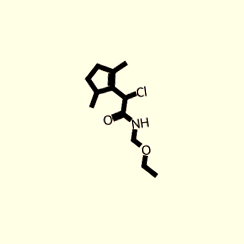 CCOCNC(=O)C(Cl)C1=C(C)CCC1C